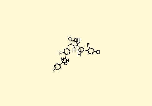 Cc1ccc(-c2nc(-c3ccc(CC(NC(=O)c4cc(-c5ccc(Cl)cc5F)c[nH]4)C(=O)O)cc3F)no2)cc1